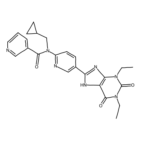 CCn1c(=O)c2[nH]c(-c3ccc(N(CC4CC4)C(=O)c4cccnc4)nc3)nc2n(CC)c1=O